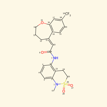 CN1c2cccc(NC(=O)C=C3CCCOc4cc(C(F)(F)F)ccc43)c2CCS1(=O)=O